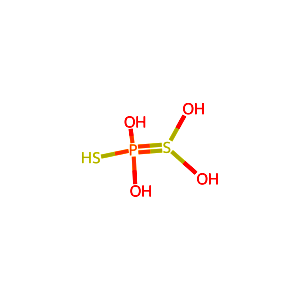 OS(O)=P(O)(O)S